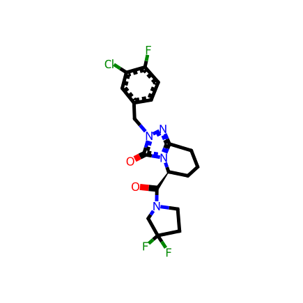 O=C([C@@H]1CCCc2nn(Cc3ccc(F)c(Cl)c3)c(=O)n21)N1CCC(F)(F)C1